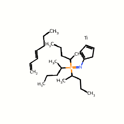 C=CC=CCCC.CCCC(C)P(=NC1=CC=CC1)(C(C)CCC)C(C)CCC.[Ti]